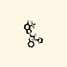 CS(=O)(=O)C1=C2CN([C@@H](CC3CCCCC3)C(=O)Nc3nccs3)C=C2C=CC1=O